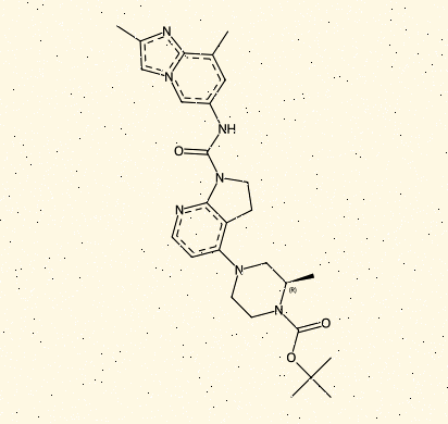 Cc1cn2cc(NC(=O)N3CCc4c(N5CCN(C(=O)OC(C)(C)C)[C@H](C)C5)ccnc43)cc(C)c2n1